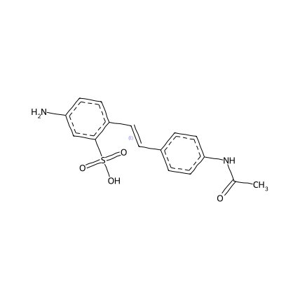 CC(=O)Nc1ccc(/C=C/c2ccc(N)cc2S(=O)(=O)O)cc1